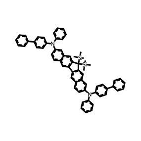 C[Si](C)(C)C1([Si](C)(C)C)c2cc3cc(N(c4ccccc4)c4ccc(-c5ccccc5)cc4)ccc3cc2-c2cc3ccc(N(c4ccccc4)c4ccc(-c5ccccc5)cc4)cc3cc21